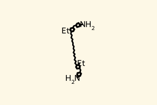 CCc1cc(Cc2ccc(N)cc2)ccc1CCCCCCCCCCCCCCCCCc1ccc(Cc2ccc(N)cc2)cc1CC